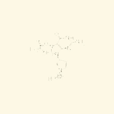 Nc1nc2c(c(=O)[nH]1)N(OP(=O)(O)O)CN2[C@H]1CCN(NO)O1